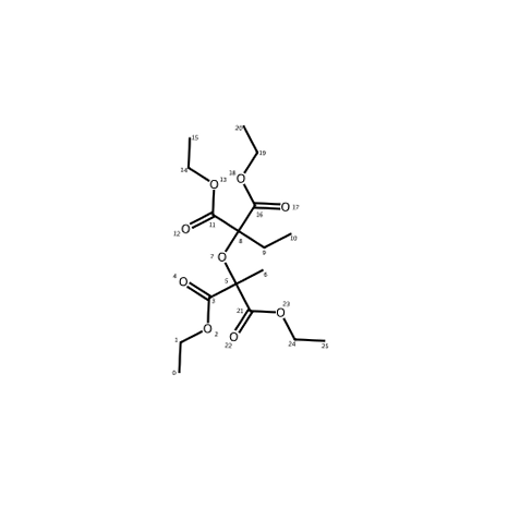 CCOC(=O)C(C)(OC(CC)(C(=O)OCC)C(=O)OCC)C(=O)OCC